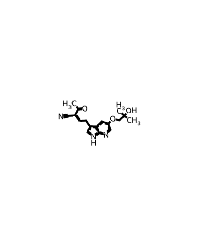 CC(=O)C(C#N)=CCc1c[nH]c2ncc(OCC(C)(C)O)cc12